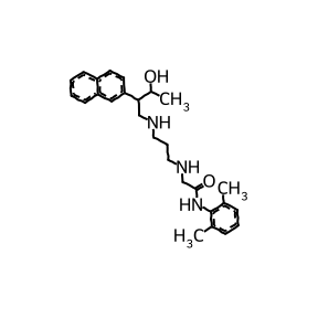 Cc1cccc(C)c1NC(=O)CNCCCNCC(c1ccc2ccccc2c1)C(C)O